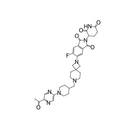 CC(=O)c1cnc(N2CCC(CN3CCC4(CC3)CN(c3cc5c(cc3F)C(=O)N(C3CCC(=O)NC3=O)C5=O)C4)CC2)cn1